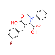 CN(c1ccccc1)C(C(=O)O)C(Cc1cccc(Br)c1)C(=O)O